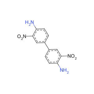 Nc1ccc(-c2ccc(N)c([N+](=O)[O-])c2)cc1[N+](=O)[O-]